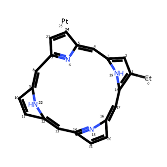 CCc1cc2cc3nc(cc4ccc(cc5nc(cc1[nH]2)C=C5)[nH]4)C=C3.[Pt]